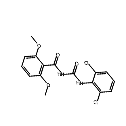 COc1cccc(OC)c1C(=O)NC(=O)Nc1c(Cl)cccc1Cl